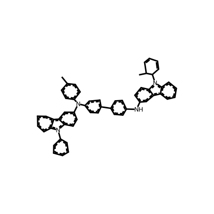 Cc1ccc(N(c2ccc(-c3ccc(Nc4ccc5c(c4)c4ccccc4n5C4C=CC=CC4C)cc3)cc2)c2ccc3c(c2)c2ccccc2n3-c2ccccc2)cc1